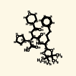 CC1(C)OB(C(CCCc2ccccc2)NC(=O)C(CC(=O)N2CCOCC2)N(C(=O)O)[C@H]2CCOC2)OC1(C)C